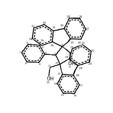 OCC1(C(c2ccccc2)C2(CO)c3ccccc3-c3ccccc32)c2ccccc2-c2ccccc21